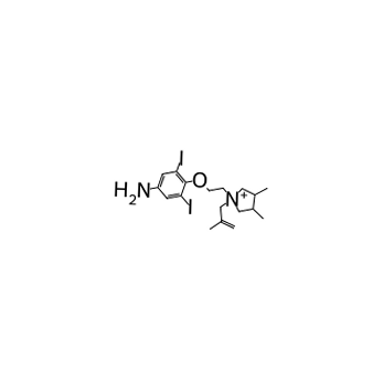 C=C(C)C[N+]1(CCOc2c(I)cc(N)cc2I)CC(C)C(C)C1